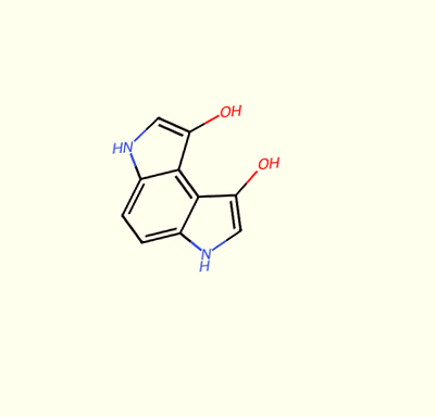 Oc1c[nH]c2ccc3[nH]cc(O)c3c12